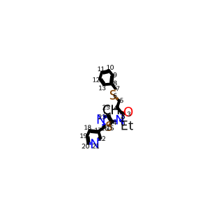 CCN(C(=O)CCSCc1ccccc1)c1sc(-c2cccnc2)nc1C